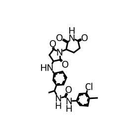 Cc1ccc(NC(=O)NC(C)c2cccc(NC3CC(=O)N(C4CCC(=O)NC4=O)C3=O)c2)cc1Cl